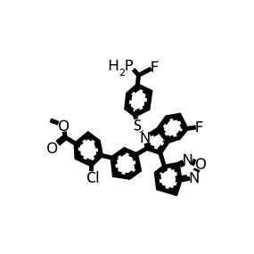 COC(=O)c1ccc(-c2cccc(-c3c(-c4cccc5nonc45)c4cc(F)ccc4n3Sc3ccc(C(F)P)cc3)c2)c(Cl)c1